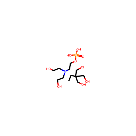 CCC(CO)(CO)CO.O=P(O)(O)OCCN(CCO)CCO